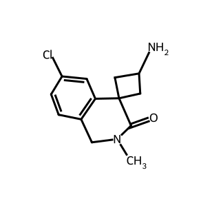 CN1Cc2ccc(Cl)cc2C2(CC(N)C2)C1=O